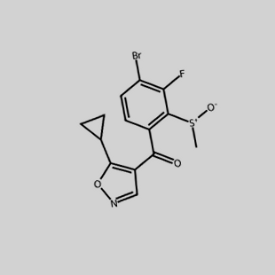 C[S+]([O-])c1c(C(=O)c2cnoc2C2CC2)ccc(Br)c1F